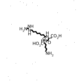 N=C(N)NCCCCCCCC(=O)N[C@@H](CC(=O)O)C(=O)N[C@@H](CCCCN)C(=O)O